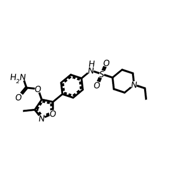 CCN1CCC(S(=O)(=O)Nc2ccc(-c3onc(C)c3OC(N)=O)cc2)CC1